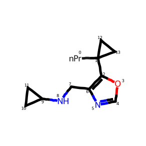 CCCC1(c2ocnc2CNC2CC2)CC1